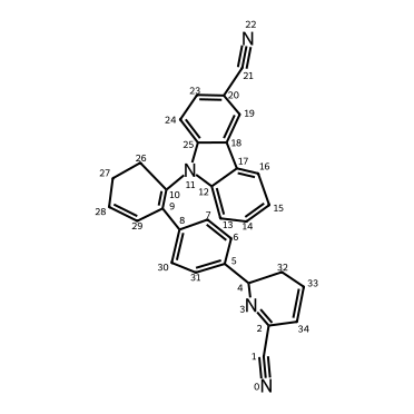 N#CC1=NC(c2ccc(C3=C(n4c5ccccc5c5cc(C#N)ccc54)CCC=C3)cc2)CC=C1